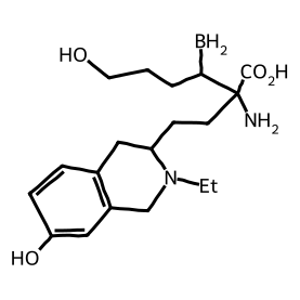 BC(CCCO)C(N)(CCC1Cc2ccc(O)cc2CN1CC)C(=O)O